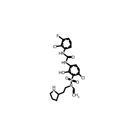 C=CN(CCC1CCCN1)S(=O)(=O)c1c(Cl)ccc(NC(=O)Nc2cccc(F)c2Cl)c1O